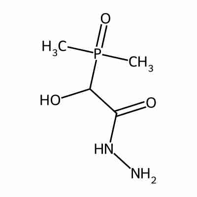 CP(C)(=O)C(O)C(=O)NN